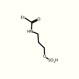 CCC(=O)NCCCOS(=O)(=O)O